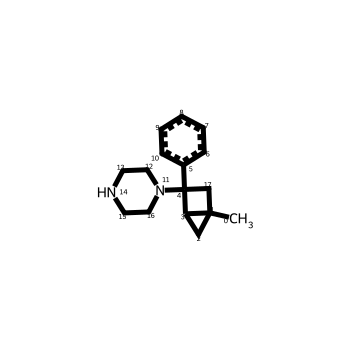 CC12CC1C(c1ccccc1)(N1CCNCC1)C2